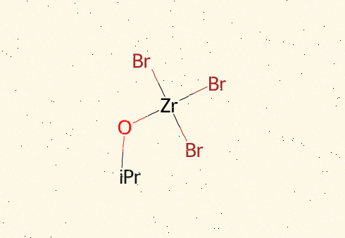 CC(C)[O][Zr]([Br])([Br])[Br]